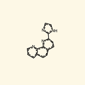 c1cnc2c(c1)ccc1ccc(-c3ncc[nH]3)nc12